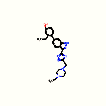 CCc1cc(O)ccc1-c1ccc2c(-c3nc(CN4CCN(CC)CC4)n[nH]3)n[nH]c2c1